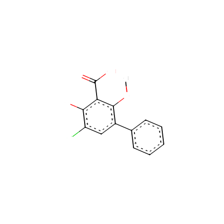 COc1c(-c2ccccc2)cc(Cl)c(O)c1C(=O)O